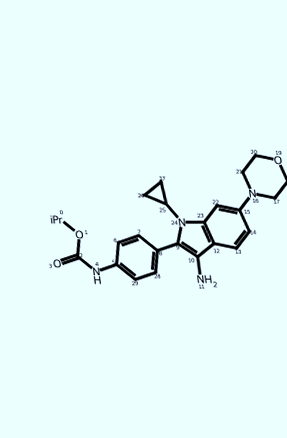 CC(C)OC(=O)Nc1ccc(-c2c(N)c3ccc(N4CCOCC4)cc3n2C2CC2)cc1